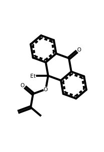 C=C(C)C(=O)OC1(CC)c2ccccc2C(=O)c2ccccc21